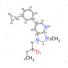 CCC(=O)CN1CN(C)c2ncc(-c3cccc(C4CC4)c3)cc21